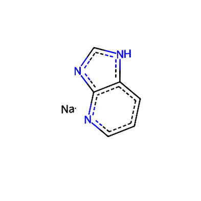 [Na].c1cnc2nc[nH]c2c1